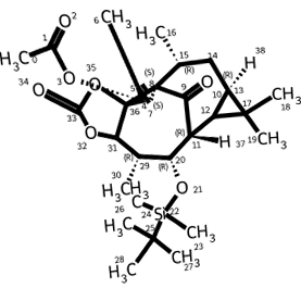 CC(=O)O[C@H]1C(C)=C[C@@]23C(=O)[C@H](C4[C@@H](C[C@H]2C)C4(C)C)[C@H](O[Si](C)(C)C(C)(C)C)[C@H](C)C2OC(=O)OC213